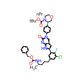 CCC[C@@H]1COC[C@@H](c2ccc(-n3cc4cc(-c5cc(CCC[C@H](C)NC(=O)OCc6ccccc6)cc(Cl)c5F)[nH]c4nc3=O)cc2)N1C(=O)OC(C)(C)C